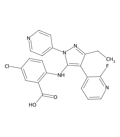 CCc1nn(-c2ccncc2)c(Nc2ccc(Cl)cc2C(=O)O)c1-c1cccnc1F